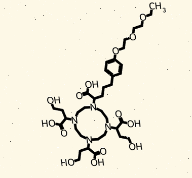 CCOCCOCCOc1ccc(CCCC(C(=O)O)N2CCN(C(CCO)C(=O)O)CCN(C(CCO)C(=O)O)CCN(C(CCO)C(=O)O)CC2)cc1